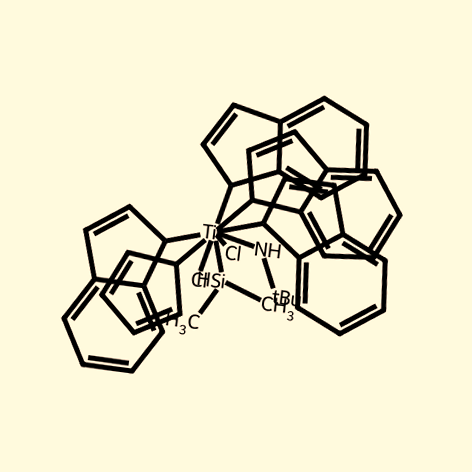 C[SiH](C)[Ti]([Cl])([Cl])([NH]C(C)(C)C)([CH]1C=CC=C1)([CH]1C=Cc2ccccc21)([CH]1C=Cc2ccccc21)([CH]1C=Cc2ccccc21)[CH]1C=Cc2ccccc21